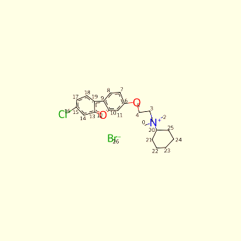 C[N+](C)(CCOc1ccc2c(c1)oc1cc(Cl)ccc12)C1CCCCC1.[Br-]